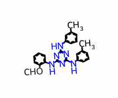 Cc1cccc(Nc2nc(Nc3cccc(C)c3)nc(Nc3ccccc3C=O)n2)c1